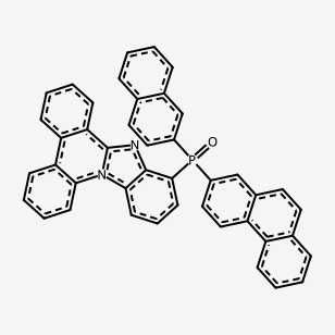 O=P(c1ccc2ccccc2c1)(c1ccc2c(ccc3ccccc32)c1)c1cccc2c1nc1c3ccccc3c3ccccc3n21